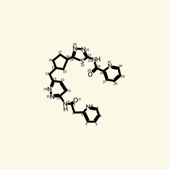 O=C(Cc1ccccn1)Nc1ccc(CC2CCC(c3nnc(NC(=O)c4ccccn4)s3)C2)nn1